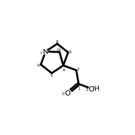 O=C(O)CC12CCN(CC1)C2